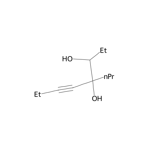 [CH2]CC#CC(O)(CCC)C(O)CC